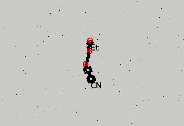 CCC1(COCCCCOc2ccc(-c3ccc(C#N)cc3)cc2)COC1